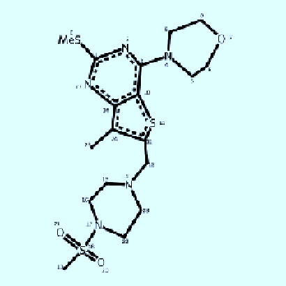 CSc1nc(N2CCOCC2)c2sc(CN3CCN(S(C)(=O)=O)CC3)c(C)c2n1